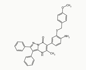 COc1ccc(CSc2cc(-c3c(C)[nH]c4c(-c5ccccc5)c(-c5ccccc5)nn4c3=O)ccc2N)cc1